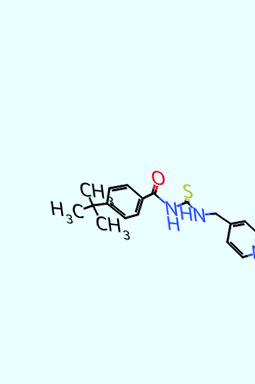 CC(C)(C)c1ccc(C(=O)NC(=S)NCc2ccncc2)cc1